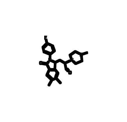 Cc1cc2c(cc1C)C(CC(C=O)N1CCN(C)CC1)N(c1ccc(F)cc1)C2=O